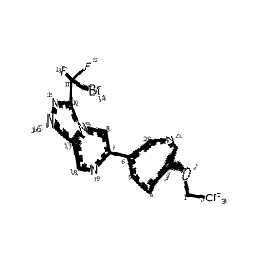 FC(F)(F)COc1ccc(-c2cn3c(C(F)(F)Br)nnc3cn2)cn1